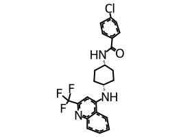 O=C(N[C@H]1CC[C@@H](Nc2cc(C(F)(F)F)nc3ccccc23)CC1)c1ccc(Cl)cc1